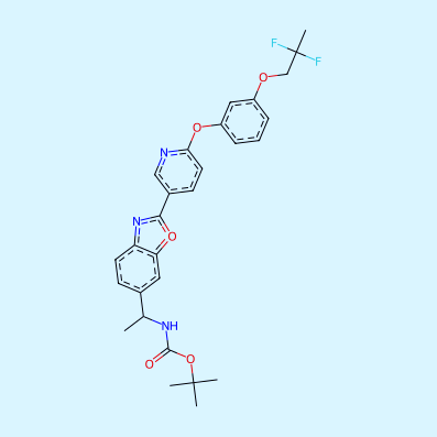 CC(NC(=O)OC(C)(C)C)c1ccc2nc(-c3ccc(Oc4cccc(OCC(C)(F)F)c4)nc3)oc2c1